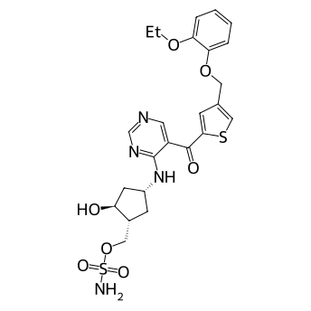 CCOc1ccccc1OCc1csc(C(=O)c2cncnc2N[C@@H]2C[C@H](COS(N)(=O)=O)[C@@H](O)C2)c1